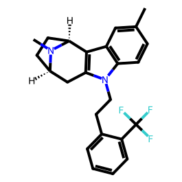 Cc1ccc2c(c1)c1c(n2CCc2ccccc2C(F)(F)F)C[C@H]2CC[C@@H]1N2C